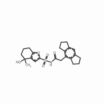 CC1(O)CCCc2oc(S(=O)(=O)NC(=O)Cc3c4c(cc5c3CCC5)CCC4)cc21